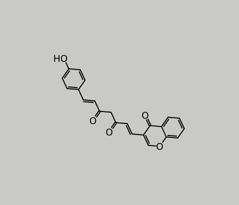 O=C(C=Cc1ccc(O)cc1)CC(=O)C=Cc1coc2ccccc2c1=O